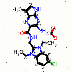 CCn1c(CNC(=O)c2nc3c(C)c[nH]c3nc2N)[n+](CC)c2ccc(Cl)cc21.O=C[O-]